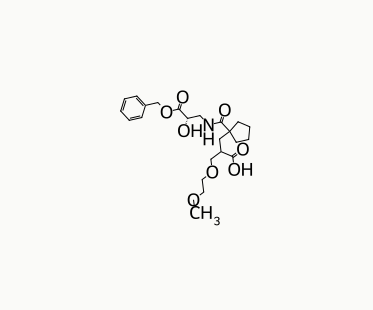 COCCOCC(CC1(C(=O)NC[C@H](O)C(=O)OCc2ccccc2)CCCC1)C(=O)O